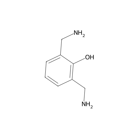 NCc1cccc(CN)c1O